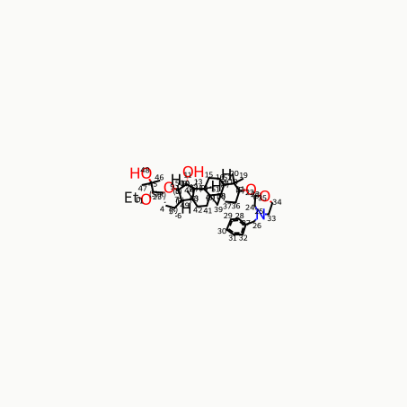 CCO[C@@H]([C@H]1C[C@@H](C)[C@H]2[C@H](O1)[C@H](O)[C@@]1(C)[C@@H]3CC[C@H]4C(C)(C)[C@@H](O[C@H]5CN(Cc6ccccc6)CCO5)CC[C@@]45C[C@@]35CC[C@]21C)C(C)(C)O